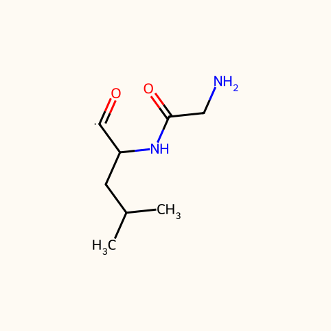 CC(C)CC([C]=O)NC(=O)CN